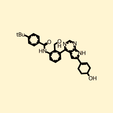 CC(C)(C)c1ccc(C(=O)Nc2cccc(-c3ncnc4[nH]c(C5=CCC(O)CC5)cc34)c2CO)cc1